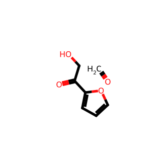 C=O.O=C(CO)c1ccco1